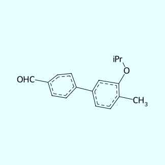 Cc1ccc(-c2ccc(C=O)cc2)cc1OC(C)C